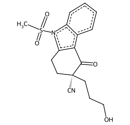 CS(=O)(=O)n1c2c(c3ccccc31)C(=O)[C@@](C#N)(CCCO)CC2